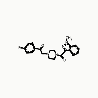 Cn1nc(C(=O)N2CCN(CC(=O)c3ccc(F)cc3)CC2)c2ccccc21